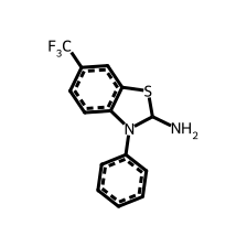 NC1Sc2cc(C(F)(F)F)ccc2N1c1ccccc1